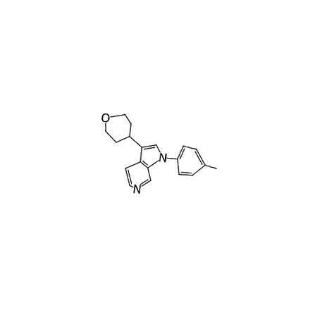 Cc1ccc(-n2cc(C3CCOCC3)c3ccncc32)cc1